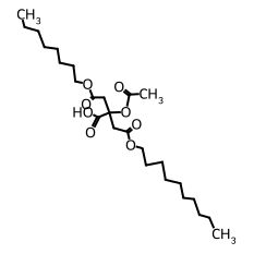 CCCCCCCCCCOC(=O)CC(CC(=O)OCCCCCCCC)(OC(C)=O)C(=O)O